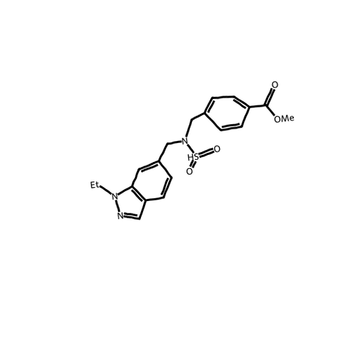 CCn1ncc2ccc(CN(Cc3ccc(C(=O)OC)cc3)[SH](=O)=O)cc21